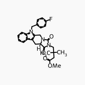 COC(=O)CC(C)(C)CN1C(=O)[C@@H]2Cc3c(n(Cc4ccc(F)cc4)c4ccccc34)CN2C1=O